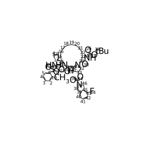 Cc1ccccc1S(=O)(=O)NC(=O)[C@@]12C[C@H]1CCCCCCC[C@H](NC(=O)OC(C)(C)C)C(=O)N1C[C@H](OC(=O)N3Cc4cccc(F)c4C3)C[C@H]1C(=O)N2